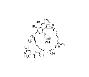 C/C1=C/C=C/C(C(C)OC(=O)[C@@H](C)CC(=O)O)CCC(O)CC[C@H](C)C/C=C/OCC(=O)c2c(O)c(C)c(O)c3c(O)c(cc(OCC(=O)O)c23)NC1=O